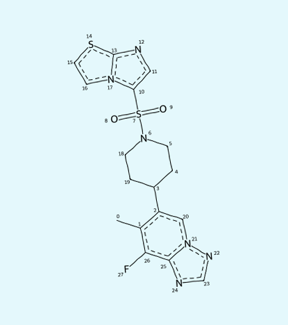 Cc1c(C2CCN(S(=O)(=O)c3cnc4sccn34)CC2)cn2ncnc2c1F